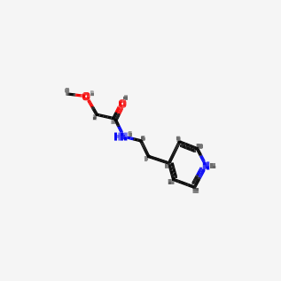 COCC(=O)NCCc1ccncc1